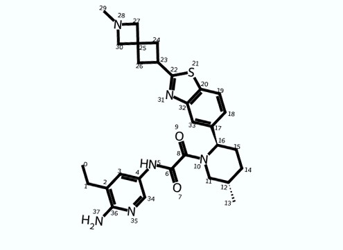 CCc1cc(NC(=O)C(=O)N2C[C@@H](C)CC[C@@H]2c2ccc3sc(C4CC5(C4)CN(C)C5)nc3c2)cnc1N